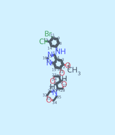 COc1cc2c(Nc3ccc(Br)c(Cl)c3)ncnc2cc1O[C@@H]1CO[C@@H]2[C@H]1OC[C@H]2N1CCOCC1